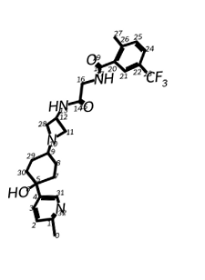 Cc1ccc(C2(O)CCC(N3CC(NC(=O)CNC(=O)c4cc(C(F)(F)F)ccc4C)C3)CC2)cn1